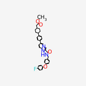 CCOC(=O)CC1CCC(c2ccc(-c3ccc4nc(C(=O)NCc5ccc(Oc6ccc(F)cc6)cc5)cn4c3)cc2)CC1